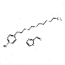 CCCCCCCCCCCCc1ccc(O)cc1.O=Cc1ccco1